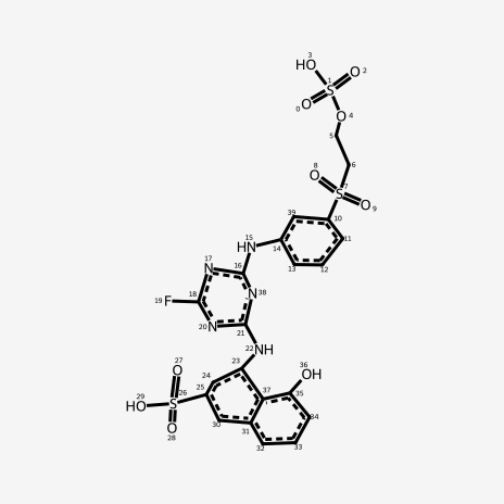 O=S(=O)(O)OCCS(=O)(=O)c1cccc(Nc2nc(F)nc(Nc3cc(S(=O)(=O)O)cc4cccc(O)c34)n2)c1